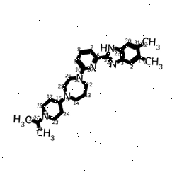 Cc1cc2nc(-c3cccc(N4CCCN(C5CCN(C(C)C)CC5)CC4)n3)[nH]c2cc1C